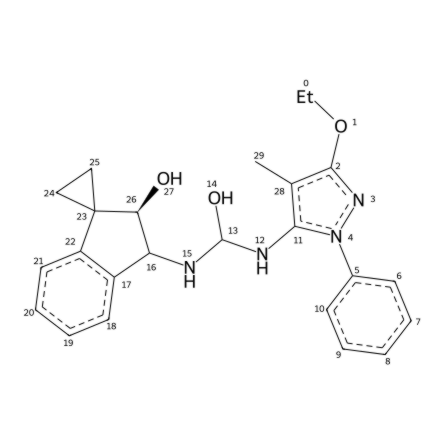 CCOc1nn(-c2ccccc2)c(NC(O)NC2c3ccccc3C3(CC3)[C@H]2O)c1C